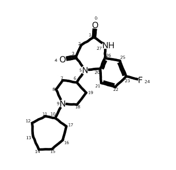 O=C1CC(=O)N(C2CCN(C3CCCCCCC3)CC2)c2ccc(F)cc2N1